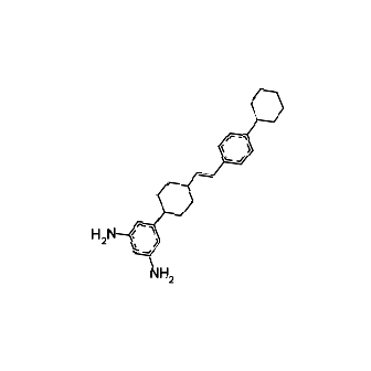 Nc1cc(N)cc(C2CCC(/C=C/c3ccc(C4CCCCC4)cc3)CC2)c1